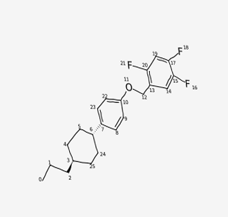 CCC[C@H]1CC[C@H](c2ccc(OCc3cc(F)c(F)cc3F)cc2)CC1